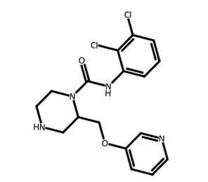 O=C(Nc1cccc(Cl)c1Cl)N1CCNCC1COc1cccnc1